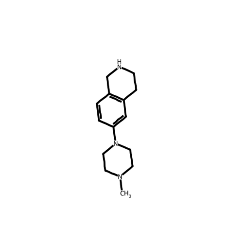 CN1CCN(c2ccc3c(c2)CCNC3)CC1